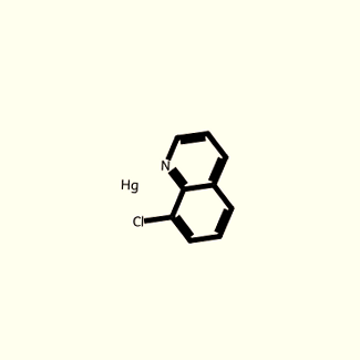 Clc1cccc2cccnc12.[Hg]